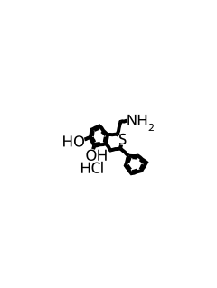 Cl.NCC1SC(c2ccccc2)Cc2c1ccc(O)c2O